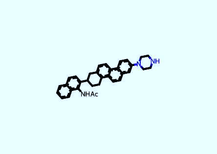 CC(=O)Nc1c(C2CCc3c(ccc4c3ccc3cc(N5CCNCC5)ccc34)C2)ccc2ccccc12